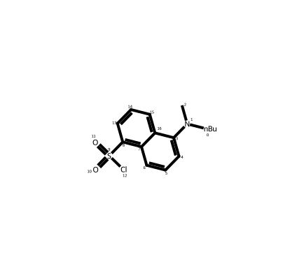 CCCCN(C)c1cccc2c(S(=O)(=O)Cl)cccc12